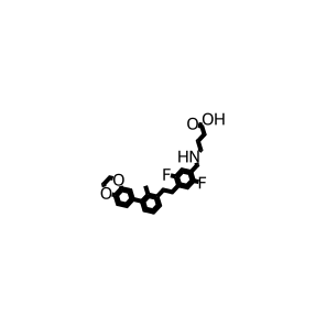 Cc1c(CCc2cc(F)c(CNCCCC(=O)O)cc2F)cccc1-c1ccc2c(c1)OCCO2